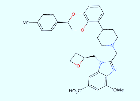 COc1cc(C(=O)O)cc2c1nc(CN1CCC(c3cccc4c3OC[C@@H](c3ccc(C#N)cc3)O4)CC1)n2C[C@@H]1CCO1